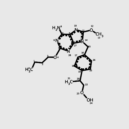 CCCCOc1nc(N)c2nc(OC)n(Cc3ccc(C(C)COO)cc3)c2n1